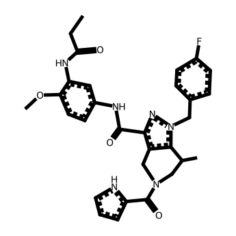 CCC(=O)Nc1cc(NC(=O)c2nn(Cc3ccc(F)cc3)c3c2CN(C(=O)c2ccc[nH]2)CC3C)ccc1OC